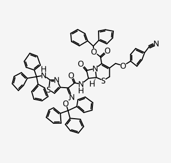 N#Cc1ccc(OCC2=C(C(=O)OC(c3ccccc3)c3ccccc3)N3C(=O)C(NC(=O)C(=NOC(c4ccccc4)(c4ccccc4)c4ccccc4)c4csc(NC(c5ccccc5)(c5ccccc5)c5ccccc5)n4)[C@@H]3SC2)cc1